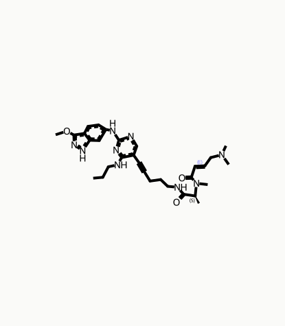 CCCNc1nc(Nc2ccc3c(OC)n[nH]c3c2)ncc1C#CCCCNC(=O)[C@H](C)N(C)C(=O)/C=C/CN(C)C